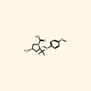 COc1ccc(OC[C@]2(C(C)(C)C)C[C@@H](N)CN2C(=O)O)cc1